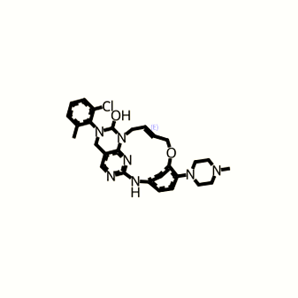 Cc1cccc(Cl)c1N1Cc2cnc3nc2N(C/C=C/COc2cc(ccc2N2CCN(C)CC2)N3)C1O